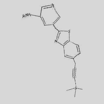 CC(=O)Nc1cncc(-c2nc3cc(C#C[Si](C)(C)C)ccc3s2)c1